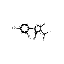 Cc1nn(-c2ccc(O)cc2F)c(=O)n1C(F)F